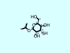 CC(C)O[C@@H]1O[C@@H](CO)[C@@H](O)[C@H](S)[C@@H]1O